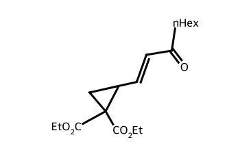 CCCCCCC(=O)/C=C/C1CC1(C(=O)OCC)C(=O)OCC